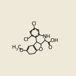 COC1=CC2=C(CC1)OC1C(C(=O)O)Nc3cc(Cl)cc(Cl)c3C21